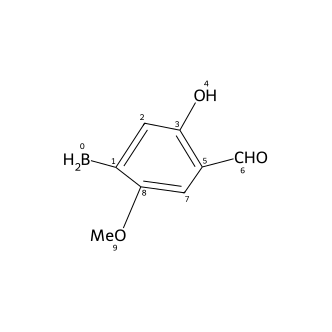 Bc1cc(O)c(C=O)cc1OC